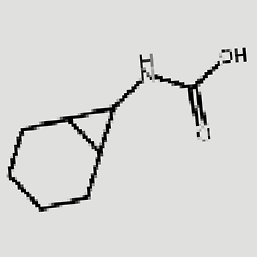 O=C(O)NC1C2CCCCC21